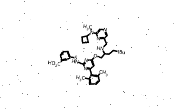 Cc1cccc(C)c1-c1cc(OCC(CCC(C)(C)C)NCc2cncc(N(C)C3CCC3)n2)nc(NSc2cccc(C(=O)O)c2)n1